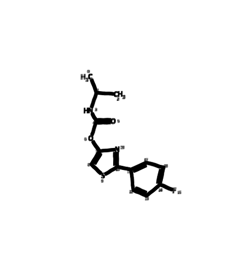 CC(C)NC(=O)Oc1csc(-c2ccc(F)cc2)n1